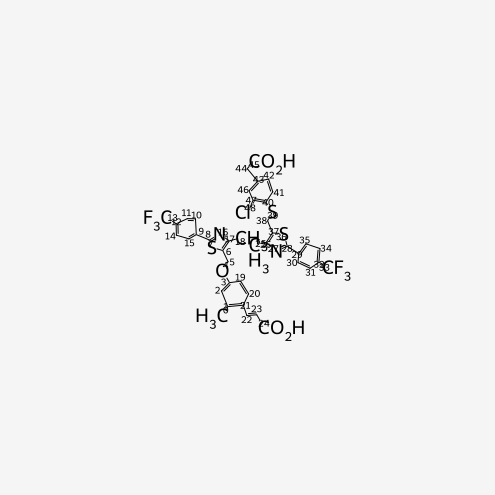 Cc1cc(OCc2sc(-c3ccc(C(F)(F)F)cc3)nc2C)ccc1C=CC(=O)O.Cc1nc(-c2ccc(C(F)(F)F)cc2)sc1CSc1ccc(CC(=O)O)cc1Cl